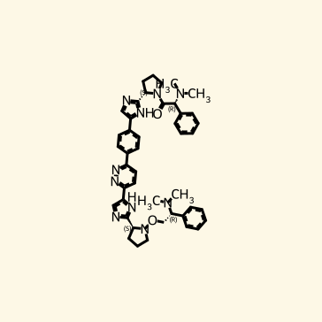 CN(C)[C@@H](CON1CCC[C@H]1c1ncc(-c2ccc(-c3ccc(-c4cnc([C@@H]5CCCN5C(=O)[C@@H](c5ccccc5)N(C)C)[nH]4)cc3)nn2)[nH]1)c1ccccc1